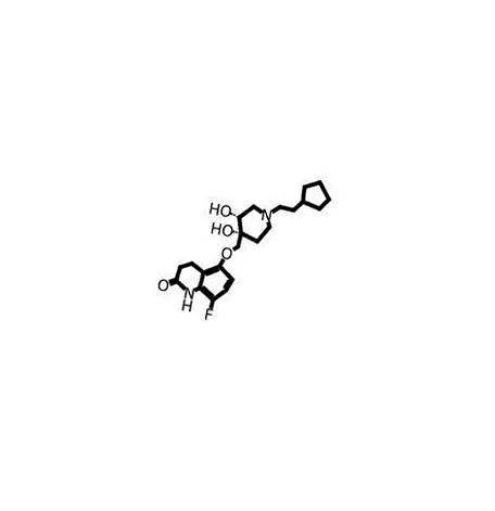 O=C1CCc2c(OC[C@]3(O)CCN(CCC4CCCC4)C[C@H]3O)ccc(F)c2N1